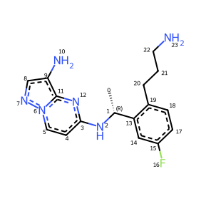 C[C@@H](Nc1ccn2ncc(N)c2n1)c1cc(F)ccc1CCCN